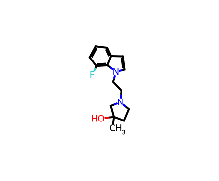 CC1(O)CCN(CCn2ccc3cccc(F)c32)C1